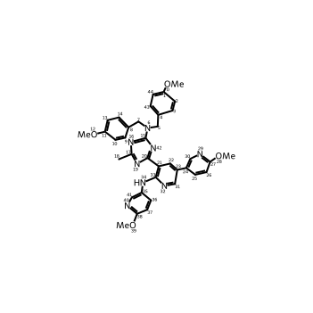 COc1ccc(CN(Cc2ccc(OC)cc2)c2nc(C)nc(-c3cc(-c4ccc(OC)nc4)cnc3Nc3ccc(OC)nc3)n2)cc1